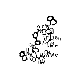 CN[C@@H](C)C(=O)N[C@H](C(=O)N1CCN(C(=O)c2cccc(-c3cccc(C(=O)N4CCN(C(=O)[C@@H](NC(=O)[C@H](C)NC)C(C)(C)C)[C@H](C(=O)N[C@@H]5CCCc6ccccc65)C4)c3)c2)C[C@H]1C(=O)N[C@@H]1CCCc2ccccc21)C(C)(C)C